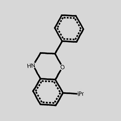 CC(C)c1cccc2c1OC(c1ccccc1)CN2